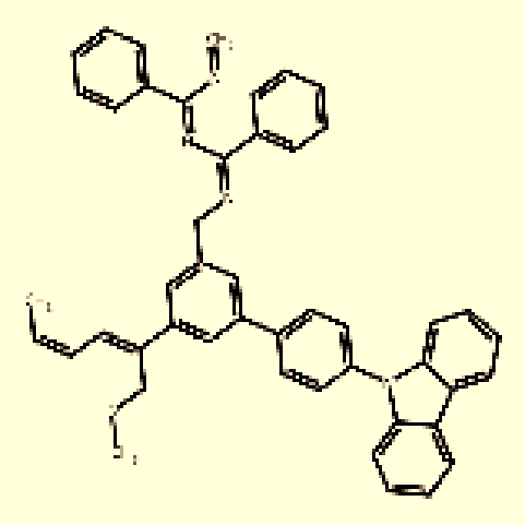 C=N/C(=N\C(=N/Cc1cc(/C(=C/C=C\C)CSC)cc(-c2ccc(-n3c4ccccc4c4ccccc43)cc2)c1)c1ccccc1)c1ccccc1